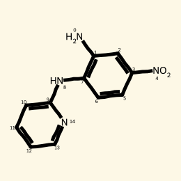 Nc1cc([N+](=O)[O-])ccc1Nc1ccccn1